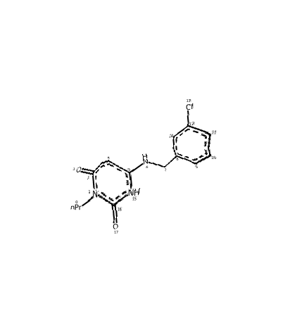 CCCn1c(=O)cc(NCc2cccc(Cl)c2)[nH]c1=O